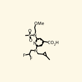 COCCN(c1cc(C(=O)O)cc(N(CC(F)F)CC2CC2C)n1)S(C)(=O)=O